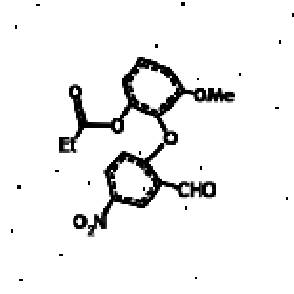 CCC(=O)Oc1cccc(OC)c1Oc1ccc([N+](=O)[O-])cc1C=O